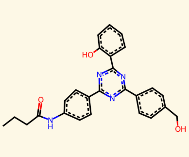 CCCC(=O)Nc1ccc(-c2nc(-c3ccc(CO)cc3)nc(-c3ccccc3O)n2)cc1